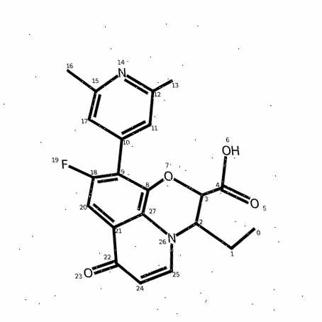 CCC1C(C(=O)O)Oc2c(-c3cc(C)nc(C)c3)c(F)cc3c(=O)ccn1c23